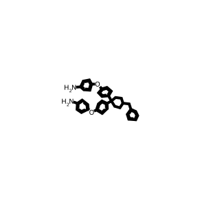 Nc1ccc(Oc2ccc(C3(c4ccc(Oc5ccc(N)cc5)cc4)CCC(Cc4ccccc4)CC3)cc2)cc1